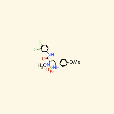 COc1ccc([C@H]2C[C@@H](C(=O)Nc3ccc(F)c(Cl)c3)N(C)S(=O)(=O)N2)cc1